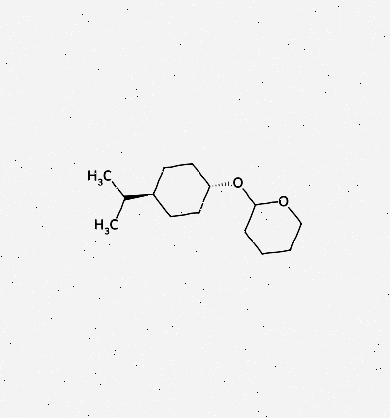 CC(C)[C@H]1CC[C@H](OC2CCCCO2)CC1